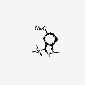 COc1ccc2c(c1)[c]([Sn]([CH3])([CH3])[CH3])nn2C